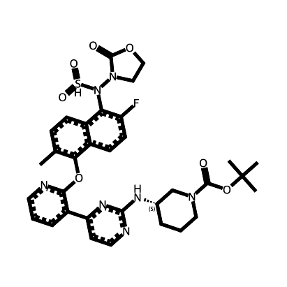 Cc1ccc2c(N(N3CCOC3=O)[SH](=O)=O)c(F)ccc2c1Oc1ncccc1-c1ccnc(N[C@H]2CCCN(C(=O)OC(C)(C)C)C2)n1